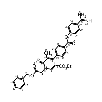 CCOC(=O)C=CN(CC(=O)OCc1ccccc1)C(=O)C(C)=Cc1ccc(C(=O)Oc2ccc(C(=N)N)cc2)cc1